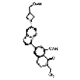 COCC1CN(c2ccn3c(-c4cc5c(c(OC)c4)C(=O)N(CC(F)(F)F)CC5)cnc3c2)C1